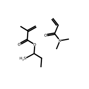 C=C(C)C(=O)OC([SiH3])CC.C=CC(=O)N(C)C